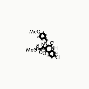 COc1ccc(Cn2nc(C(=O)N(C)OC)c3c(=O)c4ccc(Cl)cc4[nH]c(=O)c32)cc1